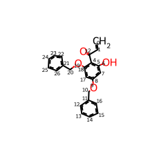 C=CC(=O)c1c(O)cc(OCc2ccccc2)cc1OCc1ccccc1